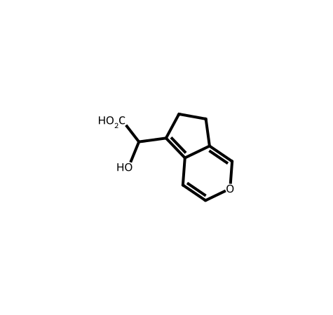 O=C(O)C(O)C1=C2C=COC=C2CC1